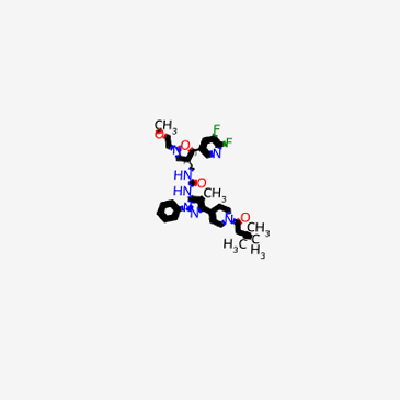 COCCN1C[C@@H](CNC(=O)Nc2c(C)c(C3=CCN(C(=O)CC(C)(C)C)CC3)nn2-c2ccccc2)[C@H](c2cnc(F)c(F)c2)O1